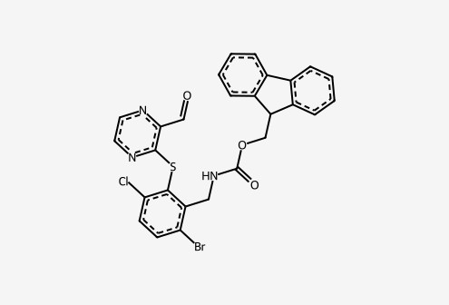 O=Cc1nccnc1Sc1c(Cl)ccc(Br)c1CNC(=O)OCC1c2ccccc2-c2ccccc21